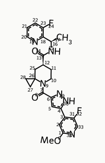 COc1cc(-c2cc(C(=O)N3CC[C@H](C(=O)N[C@H](C)c4ncccc4F)CC34CC4)n[nH]2)c(F)cn1